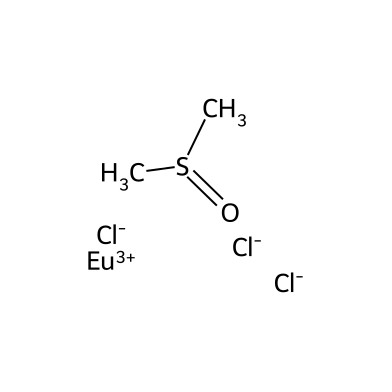 CS(C)=O.[Cl-].[Cl-].[Cl-].[Eu+3]